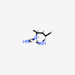 CCCC(C)N=C=N.CNC